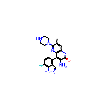 Cc1cc2[nH]c(=O)c(N)c(-c3ccc(F)c4[nH]ncc34)c2nc1N1CCNCC1